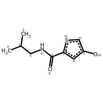 CC(C)CNC(=O)c1cc([O])cs1